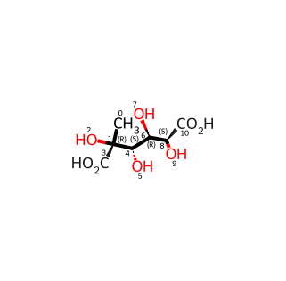 C[C@](O)(C(=O)O)[C@@H](O)[C@@H](O)[C@H](O)C(=O)O